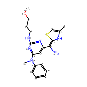 CCCCOCCCNc1nc(/C(N)=C2/NC(C)=CS2)cc(N(C)c2ccccc2)n1